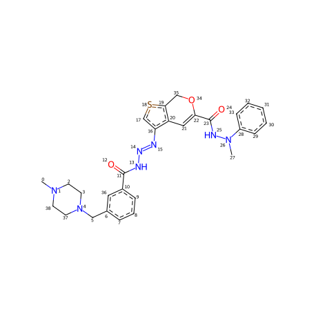 CN1CCN(Cc2cccc(C(=O)NN=Nc3csc4c3C=C(C(=O)NN(C)c3ccccc3)OC4)c2)CC1